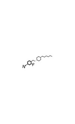 CCCCCC[C@H]1CC[C@H](CCc2ccc(C#N)cc2F)CC1